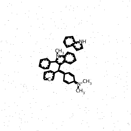 Cn1c(-c2ccccc2)c(C(=C2C=CC(=[N+](C)C)C=C2)c2ccccc2)c2ccccc21.c1ccc2[nH]ccc2c1